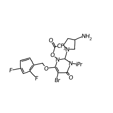 CC(C)N1C(=O)C(Br)=C(OCc2ccc(F)cc2F)N(OC(=O)C(F)(F)F)C1N1CCC(N)C1